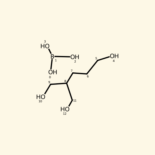 OB(O)O.OCCCC(CO)CO